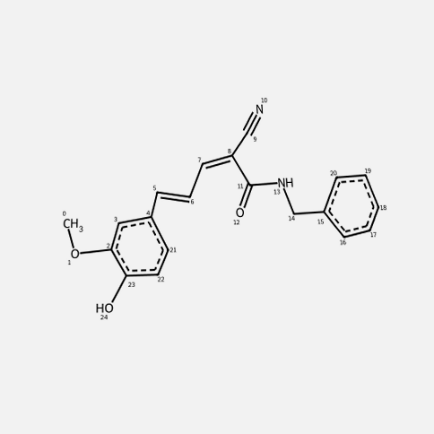 COc1cc(C=CC=C(C#N)C(=O)NCc2ccccc2)ccc1O